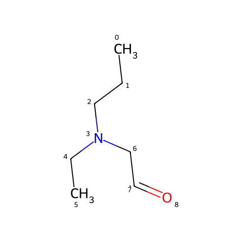 CCCN(CC)C[C]=O